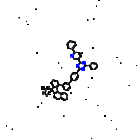 CC1(C)c2cccc(-c3cccc(-c4ccc(-c5nc(-c6ccccc6)nc(-c6ccc(-c7ccccc7)nc6)n5)cc4)c3)c2-c2c1ccc1ccccc21